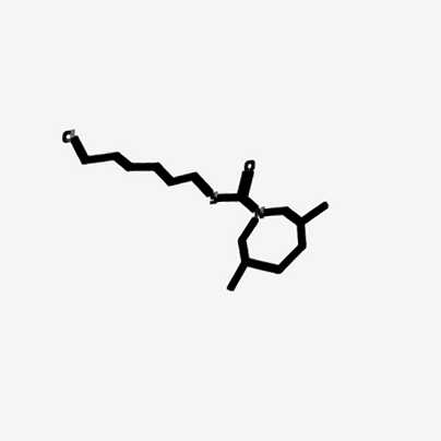 CC1CCC(C)CN(C(=O)SCCCCCCCl)C1